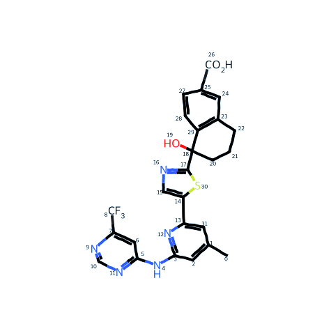 Cc1cc(Nc2cc(C(F)(F)F)ncn2)nc(-c2cnc(C3(O)CCCc4cc(C(=O)O)ccc43)s2)c1